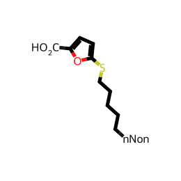 CCCCCCCCCCCCCCSc1ccc(C(=O)O)o1